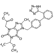 COC(=O)Cn1c(=O)n(C(C)OC)c(=O)c2c1nc(C)n2Cc1ccc(-c2ccccc2-c2nnn[nH]2)cc1